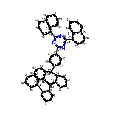 c1ccc(-c2ccccc2-c2c3ccccc3c(-c3ccc(-c4nc(-c5cccc6ccccc56)nc(-c5cccc6ccccc56)n4)cc3)c3ccccc23)cc1